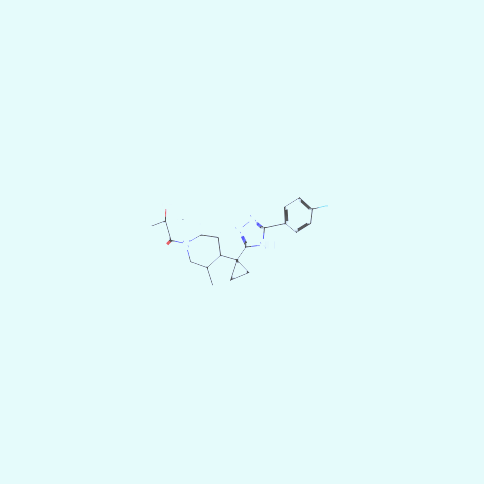 CC1CN(C(=O)[C@@](C)(O)C(F)(F)F)CCC1C1(c2nnc(-c3ccc(F)cc3)[nH]2)CC1